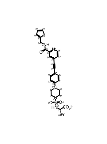 CC(C)[C@@H](NS(=O)(=O)N1CCN(c2ccc(C#Cc3ccnc(C(=O)NCc4cccs4)c3)cc2)CC1)C(=O)O